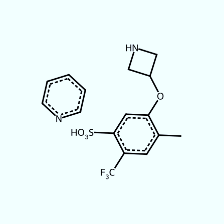 Cc1cc(C(F)(F)F)c(S(=O)(=O)O)cc1OC1CNC1.c1ccncc1